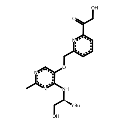 CCCC[C@@H](CO)Nc1nc(C)ncc1OCc1cccc(C(=O)CO)n1